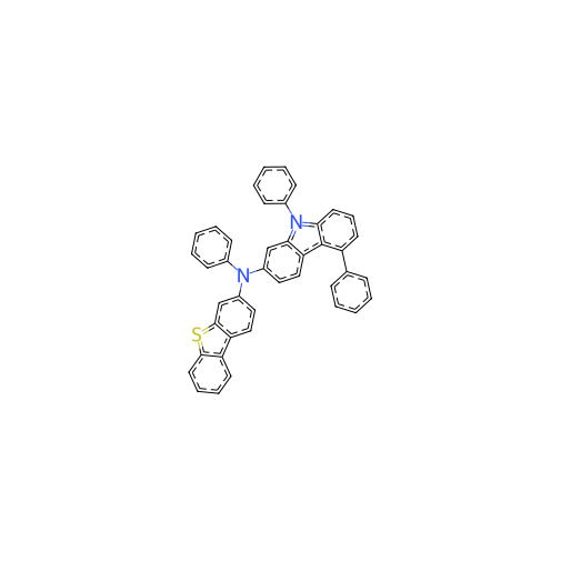 c1ccc(-c2cccc3c2c2ccc(N(c4ccccc4)c4ccc5c(c4)sc4ccccc45)cc2n3-c2ccccc2)cc1